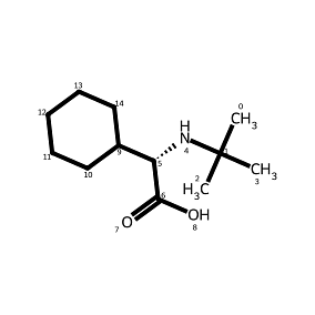 CC(C)(C)N[C@H](C(=O)O)C1CCCCC1